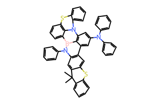 CC1(C)c2ccccc2Sc2cc3c(cc21)N(c1ccccc1)B1c2cccc4c2N(c2ccccc2S4)c2cc(N(c4ccccc4)c4ccccc4)cc-3c21